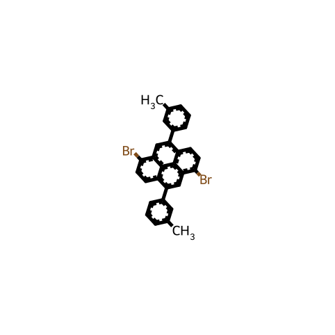 Cc1cccc(-c2cc3c(Br)ccc4c(-c5cccc(C)c5)cc5c(Br)ccc2c5c34)c1